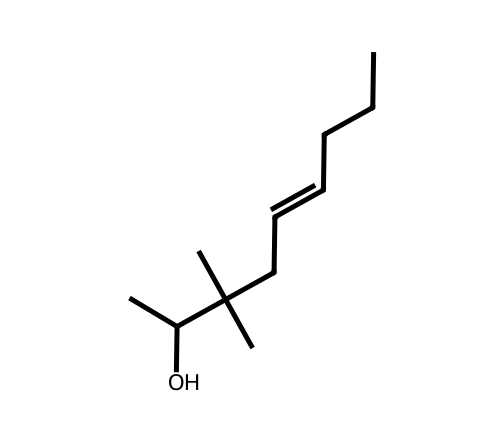 CCCC=CCC(C)(C)C(C)O